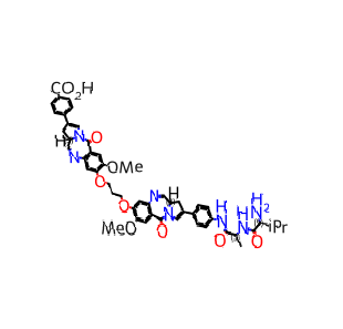 COc1cc2c(cc1OCCCOc1cc3c(cc1OC)C(=O)N1C=C(c4ccc(C(=O)O)cc4)C[C@H]1C=N3)N=C[C@@H]1CC(c3ccc(NC(=O)[C@H](C)NC(=O)[C@@H](N)C(C)C)cc3)=CN1C2=O